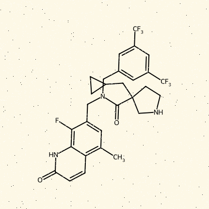 Cc1cc(CN(Cc2cc(C(F)(F)F)cc(C(F)(F)F)c2)C(=O)C2(CC3CC3)CCNC2)c(F)c2[nH]c(=O)ccc12